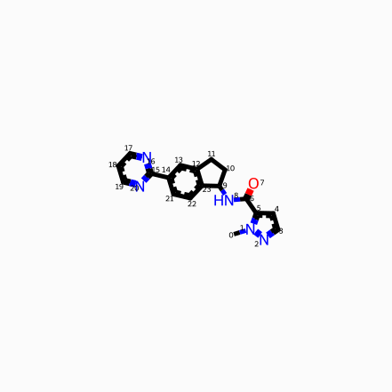 Cn1nccc1C(=O)NC1CCc2cc(-c3ncccn3)ccc21